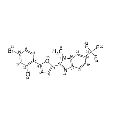 Cn1c(-c2ccc(-c3ccc(Br)cc3Cl)o2)nc2ccc(C(F)(F)F)cc21